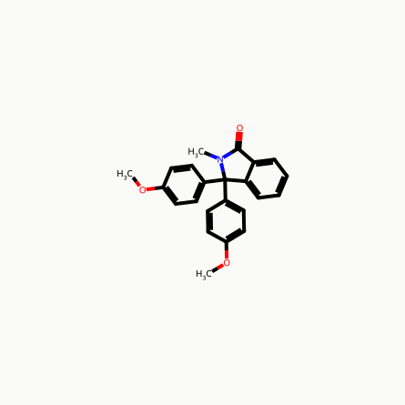 COc1ccc(C2(c3ccc(OC)cc3)c3ccccc3C(=O)N2C)cc1